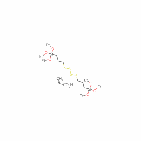 C=CC(=O)O.CCO[Si](CCCSSSSCCC[Si](OCC)(OCC)OCC)(OCC)OCC